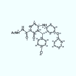 CC(=O)NNC(=O)c1nnc(Nc2ccc(Oc3ccccn3)cc2)n(Cc2ccc(Cl)cc2)c1=O